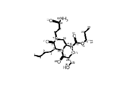 CCCC[C@H]1C(=O)N(CCC(N)=O)CC2N(C(=O)O[C@@H](C)CC)O[C@H](CO)C(=O)N21